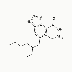 CCCCC(CC)Cc1cc2[nH]nnc2c(C(=O)O)c1CN